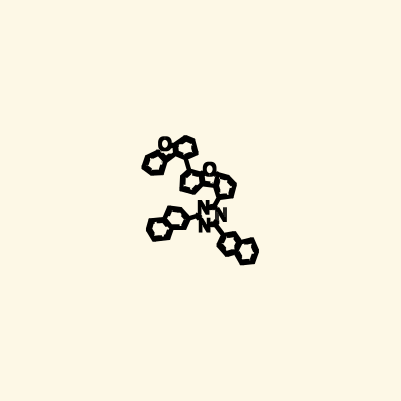 c1ccc2cc(-c3nc(-c4ccc5ccccc5c4)nc(-c4cccc5oc6c(-c7cccc8oc9ccccc9c78)cccc6c45)n3)ccc2c1